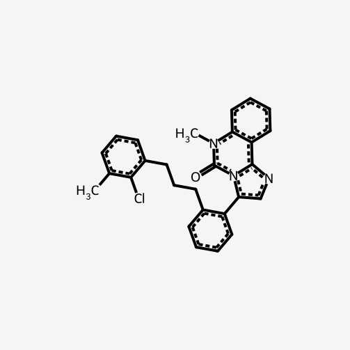 Cc1cccc(CCCc2ccccc2-c2cnc3c4ccccc4n(C)c(=O)n23)c1Cl